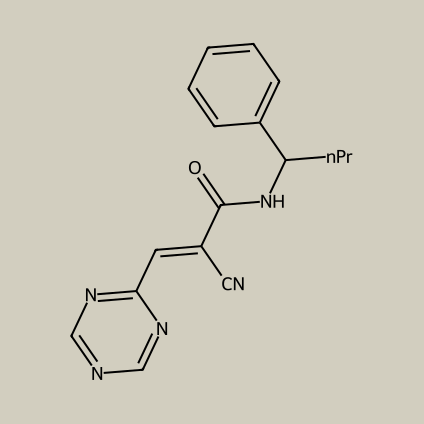 CCCC(NC(=O)/C(C#N)=C/c1ncncn1)c1ccccc1